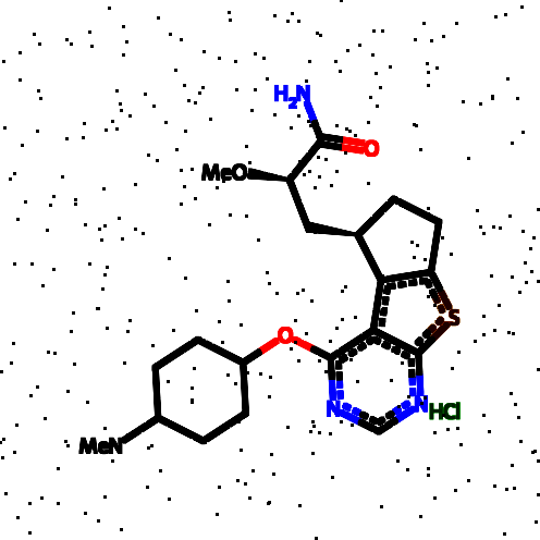 CNC1CCC(Oc2ncnc3sc4c(c23)[C@@H](C[C@@H](OC)C(N)=O)CC4)CC1.Cl